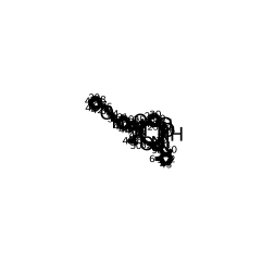 Cc1cccc(C)c1-c1cc2nc(n1)NS(=O)(=O)c1cccc(c1)C(=O)N(C1CC3(CCN(CCOCc4ccccc4)CC3)C1)[C@H](CC(C)C)CO2